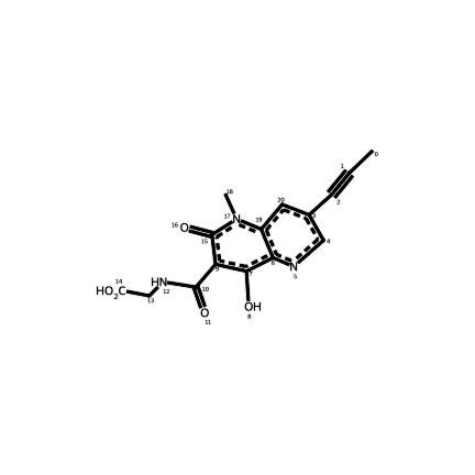 CC#Cc1cnc2c(O)c(C(=O)NCC(=O)O)c(=O)n(C)c2c1